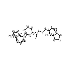 CN(CCCC(C=O)NC1CCCC1)C1CCCN(c2ncnc3[nH]ccc23)C1